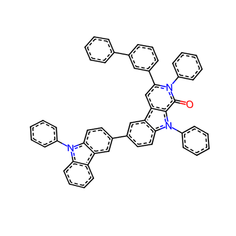 O=c1c2c(cc(-c3cccc(-c4ccccc4)c3)n1-c1ccccc1)c1cc(-c3ccc4c(c3)c3ccccc3n4-c3ccccc3)ccc1n2-c1ccccc1